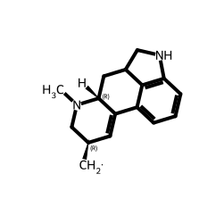 [CH2][C@@H]1C=C2c3cccc4c3C(CN4)C[C@H]2N(C)C1